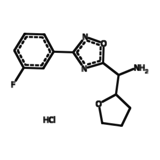 Cl.NC(c1nc(-c2cccc(F)c2)no1)C1CCCO1